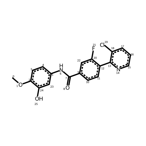 COc1ccc(NC(=O)c2ccc(-c3ncccc3Cl)c(F)c2)cc1O